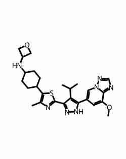 COc1cc(-c2[nH]nc(-c3nc(C)c(C4CCC(NC5COC5)CC4)s3)c2C(C)C)cn2ncnc12